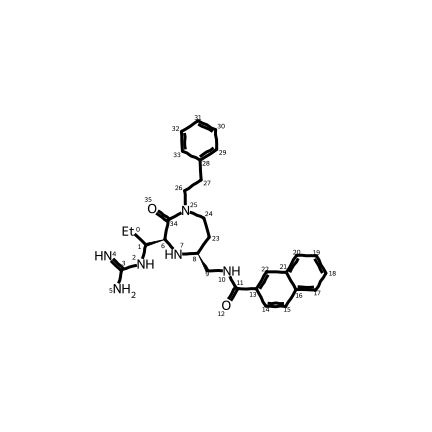 CCC(NC(=N)N)[C@@H]1N[C@H](CNC(=O)c2ccc3ccccc3c2)CCN(CCc2ccccc2)C1=O